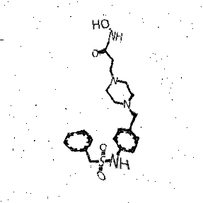 O=C(CCN1CCN(Cc2ccc(NS(=O)(=O)Cc3ccccc3)cc2)CC1)NO